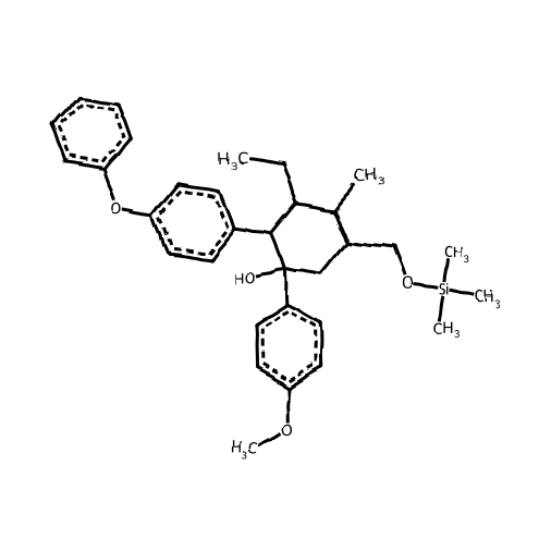 CCC1C(C)C(CO[Si](C)(C)C)CC(O)(c2ccc(OC)cc2)C1c1ccc(Oc2ccccc2)cc1